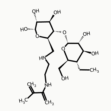 C=C(C)C(=C)NCCNC[C@H]1O[C@H](O)[C@H](O)[C@@H](O)[C@@H]1O[C@H]1O[C@H](CO)[C@@H](CC)[C@H](O)[C@H]1O